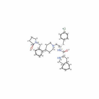 O=C(N[C@@H](Cc1ccc(Cl)cc1)CN1CCC(c2ccccc2CN2CCCC2=O)CC1)[C@@H]1Cc2ccccc2CN1